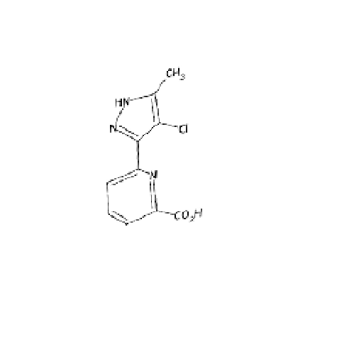 Cc1[nH]nc(-c2cccc(C(=O)O)n2)c1Cl